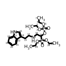 CCOP(=O)(OCC)OC(CNCCc1c[nH]c2ccccc12)P(=O)(OCC)OCC